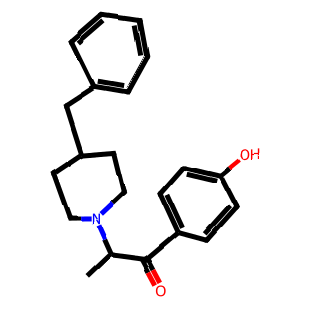 CC(C(=O)c1ccc(O)cc1)N1CCC(Cc2ccccc2)CC1